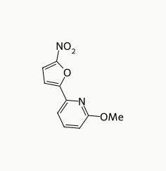 COc1cccc(-c2ccc([N+](=O)[O-])o2)n1